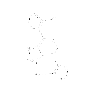 O=C(O)c1ccsc1-c1ccc(-c2sccc2C(=O)O)c2nsnc12